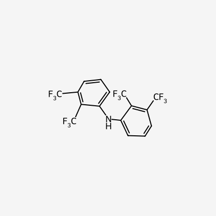 FC(F)(F)c1cccc(Nc2cccc(C(F)(F)F)c2C(F)(F)F)c1C(F)(F)F